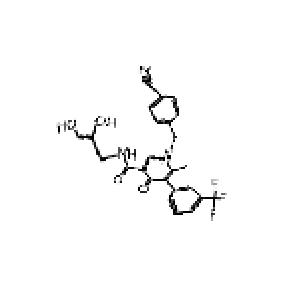 Cc1c(-c2cccc(C(F)(F)F)c2)c(=O)c(C(=O)NCC(O)CO)cn1Cc1ccc(C#N)cc1